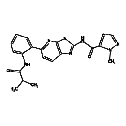 CC(C)C(=O)Nc1ccccc1-c1ccc2nc(NC(=O)c3ccnn3C)sc2n1